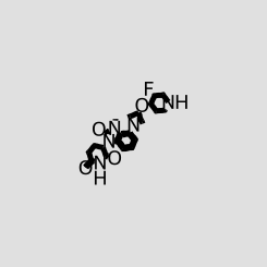 Cn1c(=O)n(C2CCC(=O)NC2=O)c2cccc(N3CC(O[C@H]4CCNC[C@H]4F)C3)c21